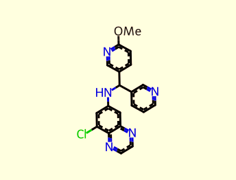 COc1ccc(C(Nc2cc(Cl)c3nccnc3c2)c2cccnc2)cn1